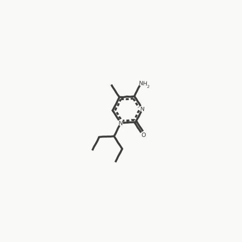 CCC(CC)n1cc(C)c(N)nc1=O